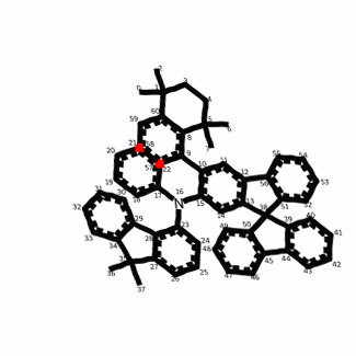 CC1(C)CCC(C)(C)c2c(-c3cc4c(cc3N(c3ccccc3)c3cccc5c3-c3ccccc3C5(C)C)C3(c5ccccc5-c5ccccc53)c3ccccc3-4)cccc21